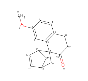 COc1ccc2c(c1)C1(CC3C=CC1C3)C(=O)CC2